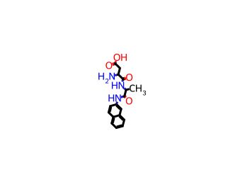 CC(NC(=O)C(N)CC(=O)O)C(=O)Nc1ccc2ccccc2c1